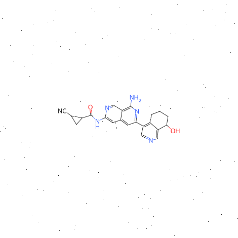 N#CC1CC1C(=O)Nc1cc2cc(-c3cncc4c3CCCC4O)nc(N)c2cn1